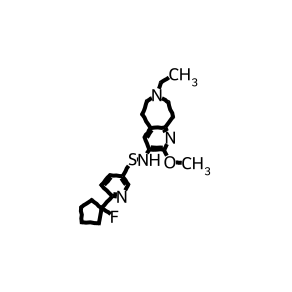 CCN1CCc2cc(NSc3ccc(C4(F)CCCC4)nc3)c(OC)nc2CC1